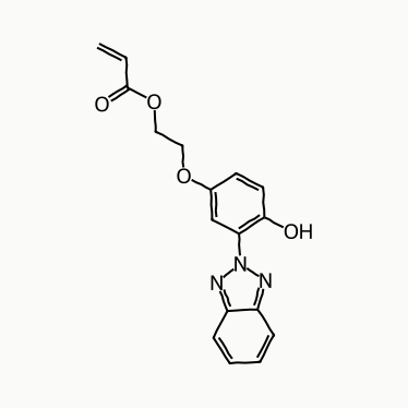 C=CC(=O)OCCOc1ccc(O)c(-n2nc3ccccc3n2)c1